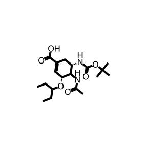 CCC(CC)O[C@@H]1C=C(C(=O)O)C[C@H](NC(=O)OC(C)(C)C)C1NC(C)=O